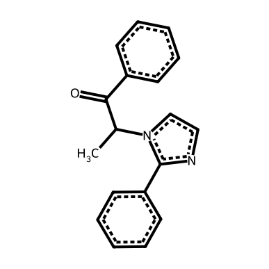 CC(C(=O)c1ccccc1)n1ccnc1-c1ccccc1